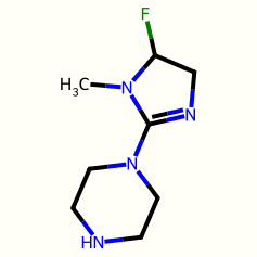 CN1C(N2CCNCC2)=NCC1F